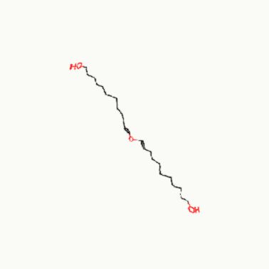 OCCCCCCCCCC=COC=CCCCCCCCCCO